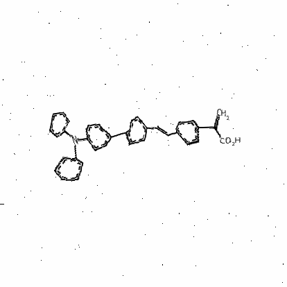 C=C(C(=O)O)c1ccc(C=Cc2ccc(-c3ccc(N(c4ccccc4)c4ccccc4)cc3)cc2)cc1